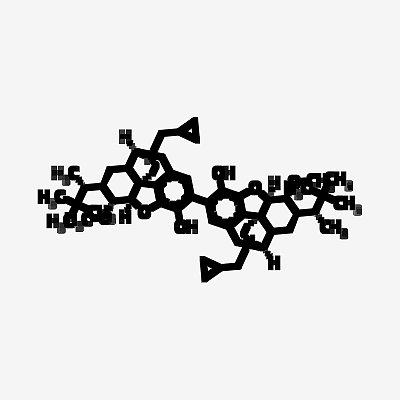 CO[C@@H]1[C@@H]([C@@H](C)C(C)(C)C)CC2[C@H]3Cc4cc(-c5cc6c7c(c5O)O[C@H]5[C@H](OC)[C@@H]([C@@H](C)C(C)(C)C)CC8[C@@H](C6)N(CC6CC6)CC[C@@]785)c(O)c5c4[C@@]2(CCN3CC2CC2)[C@H]1O5